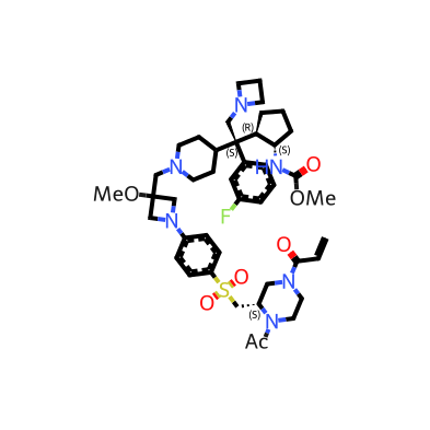 C=CC(=O)N1CCN(C(C)=O)[C@H](CS(=O)(=O)c2ccc(N3CC(CN4CCC([C@@](CN5CCC5)(c5cccc(F)c5)[C@H]5CCC[C@@H]5NC(=O)OC)CC4)(OC)C3)cc2)C1